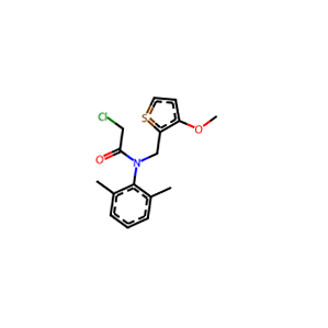 COc1ccsc1CN(C(=O)CCl)c1c(C)cccc1C